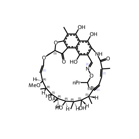 CCCCC(CCC)O/N=C/c1c2c(O)c3c(O)c(C)c4c(c3c1O)C(=O)[C@@](C)(O/C=C/[C@H](OC)[C@@H](C)[C@@H](OC(C)=O)[C@H](C)[C@H](O)[C@H](C)[C@@H](O)[C@@H](C)/C=C/C=C(/C)C(=O)N2)O4